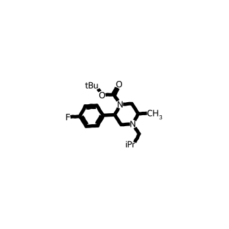 CC(C)CN1CC(c2ccc(F)cc2)N(C(=O)OC(C)(C)C)CC1C